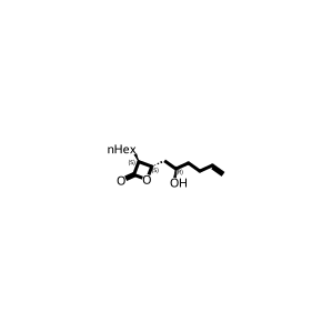 C=CCC[C@@H](O)C[C@@H]1OC(=O)[C@H]1CCCCCC